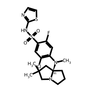 CN(c1cc(F)c(S(=O)(=O)Nc2nccs2)cc1Cl)[C@@]12CCCN1CC(C)(C)C2